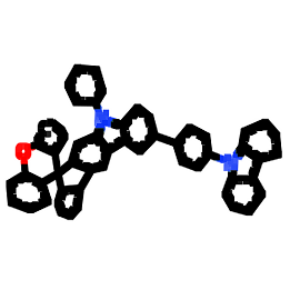 c1ccc(-n2c3ccc(-c4ccc(-n5c6ccccc6c6ccccc65)cc4)cc3c3cc4c(cc32)C2(c3ccccc3Oc3ccccc32)c2ccccc2-4)cc1